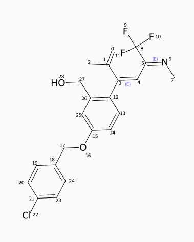 C=C(C)/C(=C\C(=N/C)C(F)(F)F)c1ccc(OCc2ccc(Cl)cc2)cc1CO